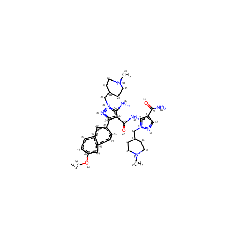 CN1CCC(Cn2cc(C(N)=O)cn2)CC1.COc1ccc2cc(-c3nn(CC4CCN(C)CC4)c(N)c3C(N)=O)ccc2c1